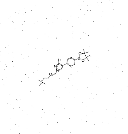 Cc1nn(COCCS(C)(C)C)cc1-c1ccc(B2OC(C)(C)C(C)(C)O2)cc1